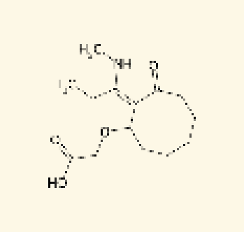 CC/C(NC)=C1/C(=O)CCCCCC1OCC(=O)O